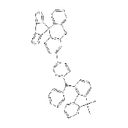 CC1(C)c2ccccc2-c2c(N(c3ccccc3)c3ccc(-c4ccc5c(c4)Oc4ccccc4C54c5ccccc5-c5ccccc54)cc3)cccc21